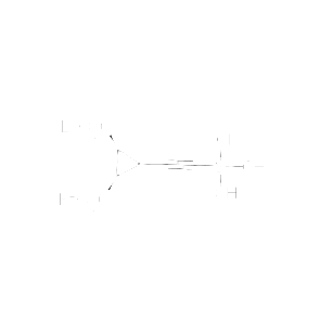 CCOC(=O)[C@@H]1C(C#C[Si](C)(C)C)[C@@H]1C(=O)OCC